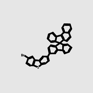 Brc1ccc2sc3ccc(-c4ccc5c(c4)-c4ccccc4C54c5ccccc5-c5c4ccc4ccccc54)cc3c2c1